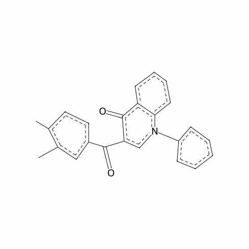 Cc1ccc(C(=O)c2cn(-c3ccccc3)c3ccccc3c2=O)cc1C